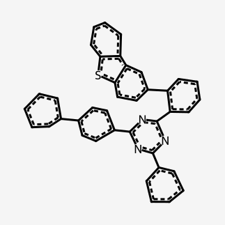 c1ccc(-c2ccc(-c3nc(-c4ccccc4)nc(-c4ccccc4-c4ccc5sc6ccccc6c5c4)n3)cc2)cc1